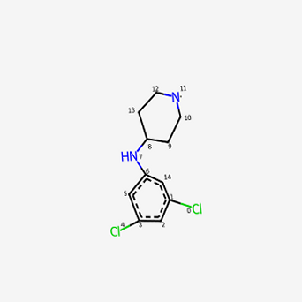 Clc1cc(Cl)cc(NC2CC[N]CC2)c1